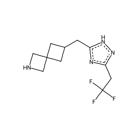 FC(F)(F)Cc1n[nH]c(CC2CC3(CNC3)C2)n1